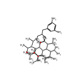 BBB(B(B)B)B(B(B)B)B(B(B(B(B)B)B(B)B)B(B(B)B)B(B)B)B(B(B(B(B)B)B(B)B)B(B(B)B)B(B)B)C1CCC(Cc2cc(N)cc(N)c2)CC1